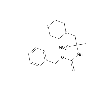 CC(CN1CCOCC1)(NC(=O)OCc1ccccc1)C(=O)O